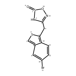 O=S1NC(Cc2scc3cc(Br)ccc23)=NO1